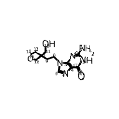 Nc1nc2c(ncn2CCC2(CO)CCOC2)c(=O)[nH]1